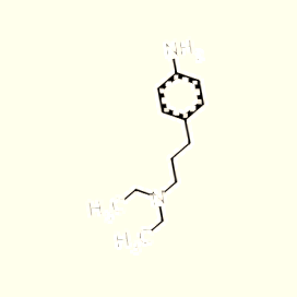 CCN(CC)CCCc1ccc(N)cc1